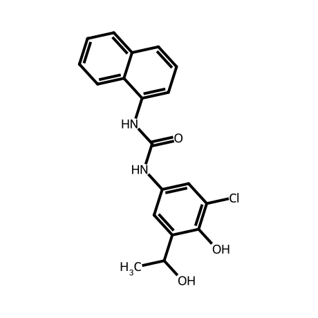 CC(O)c1cc(NC(=O)Nc2cccc3ccccc23)cc(Cl)c1O